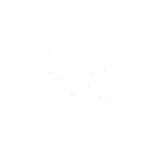 COc1cc(I)c(/C=C(\c2ccnc3cc4c(cc23)OCO4)C2OC(C)O2)cc1OC